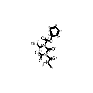 CN(F)C(=S)N(C(=O)N(CC(C)(C)C)C(=O)Oc1ccccc1)C(Cl)Cl